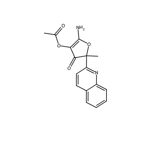 CC(=O)OC1=C(N)OC(C)(c2ccc3ccccc3n2)C1=O